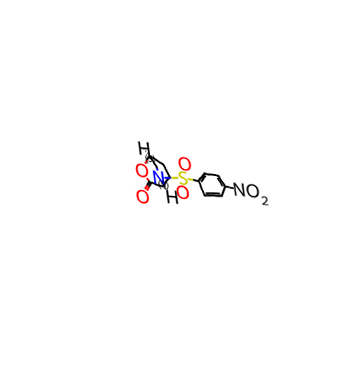 O=C1O[C@H]2CC[C@@H]1N(S(=O)(=O)c1ccc([N+](=O)[O-])cc1)C2